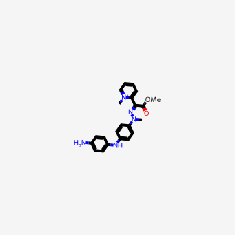 COC(=O)/C(=N\N(C)c1ccc(Nc2ccc(N)cc2)cc1)c1cccc[n+]1C